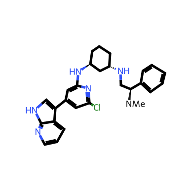 CN[C@@H](CN[C@H]1CCC[C@H](Nc2cc(-c3c[nH]c4ncccc34)cc(Cl)n2)C1)c1ccccc1